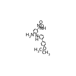 CC(C)Oc1ccc(-c2cccc(Nc3cc(-c4nc(=O)o[nH]4)ccc3N)c2)cc1